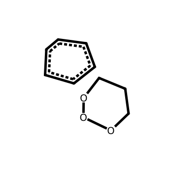 C1COOOC1.c1ccccc1